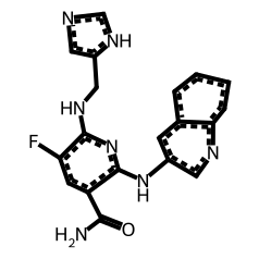 NC(=O)c1cc(F)c(NCc2cnc[nH]2)nc1Nc1cnc2ccccc2c1